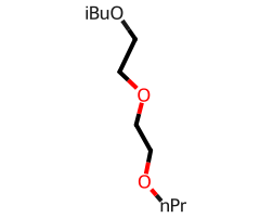 CCCOCCOCCOCC(C)C